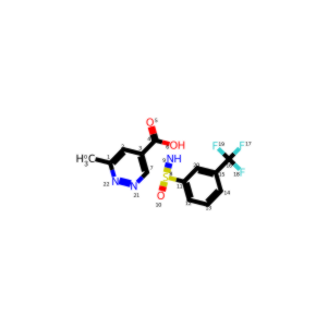 Cc1cc(C(=O)O)c([S@](=N)(=O)c2cccc(C(F)(F)F)c2)nn1